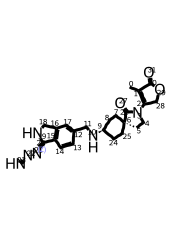 CC1=C(N2CC[C@]3(CC[C@@H](NCc4ccc5c(c4)CN/C5=N\N=N)CC3)C2=O)COC1=O